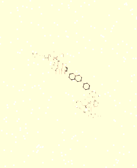 COC(=O)N[C@H](C(=O)N1CCC[C@H]1c1ncc(-c2ccc3cc(-c4ccc(C5CN=C([C@@H]6CCCN6C(=O)[C@@H](NC(=O)OC)C6CCOCC6)N5)cc4)ccc3c2)[nH]1)C(C)C